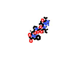 CC[C@H](C)[C@@H]([C@@H](CC(=O)N1CCC[C@H]1[C@H](OC)[C@@H](C)C(=O)N[C@@H](Cc1ccccc1)C(C)=O)OC)N(C)C(=O)[C@@H](NC(=O)[C@H](C(C)C)N(C)C)C(C)C